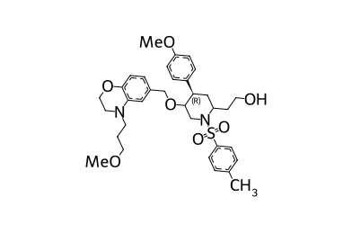 COCCCN1CCOc2ccc(COC3CN(S(=O)(=O)c4ccc(C)cc4)C(CCO)C[C@@H]3c3ccc(OC)cc3)cc21